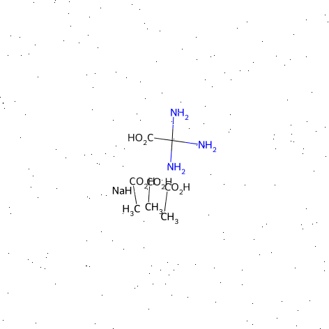 CC(=O)O.CC(=O)O.CC(=O)O.NC(N)(N)C(=O)O.[NaH]